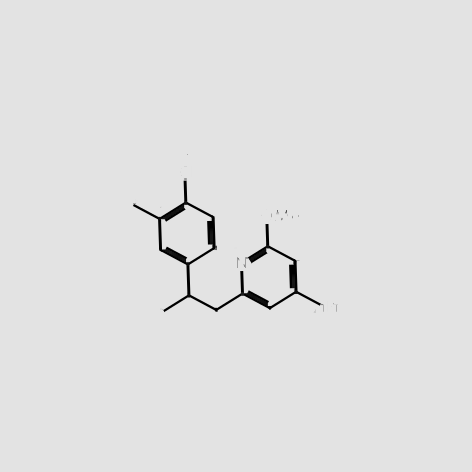 COc1cc(C(C)C)cc(CC(C)c2ccc(Cl)c(C)c2)n1